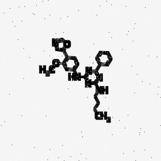 CCCCNc1nc(Nc2ccc(-c3cnco3)c(OC)c2)nc(-c2ccccc2)n1